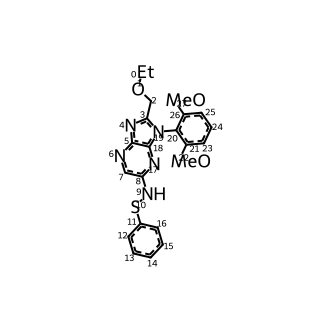 CCOCc1nc2ncc(NSc3ccccc3)nc2n1-c1c(OC)cccc1OC